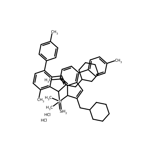 Cc1ccc(-c2ccc(C)c3c2C=C(CC2CCCCC2)[CH]3[Zr]([CH3])([CH3])(=[SiH2])[CH]2C(CC3CCCCC3)=Cc3c(-c4ccc(C)cc4)ccc(C)c32)cc1.Cl.Cl